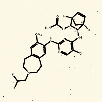 COc1cc2c(cc1Nc1ncc(Cl)c(N[C@H]3[C@@H](OC(N)=O)[C@@H]4C=C[C@H]3C4)n1)CCN(CC(F)F)CC2